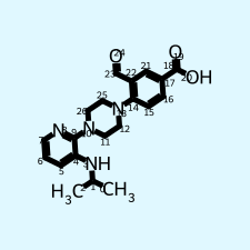 CC(C)Nc1cccnc1N1CCN(c2ccc(C(=O)O)cc2C=O)CC1